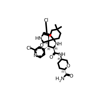 CC1(C)CCC2(CC1)N[C@@H](C(=O)N[C@@H]1CC[C@@H](C(N)=O)OC1)[C@H](c1ccnc(Cl)c1)[C@]21C(=O)Nc2cc(Cl)ncc21